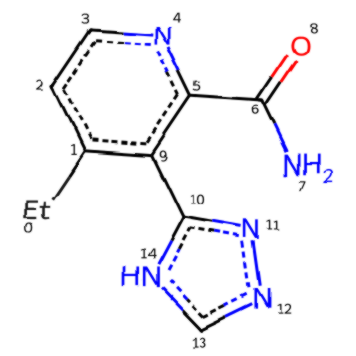 CCc1ccnc(C(N)=O)c1-c1nnc[nH]1